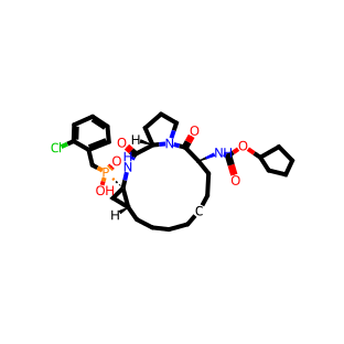 O=C(N[C@H]1CCCCCCC[C@@H]2C[C@@]2(P(=O)(O)Cc2ccccc2Cl)NC(=O)[C@@H]2CCCN2C1=O)OC1CCCC1